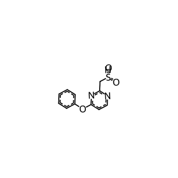 O=[SH](=O)Cc1nccc(Oc2ccccc2)n1